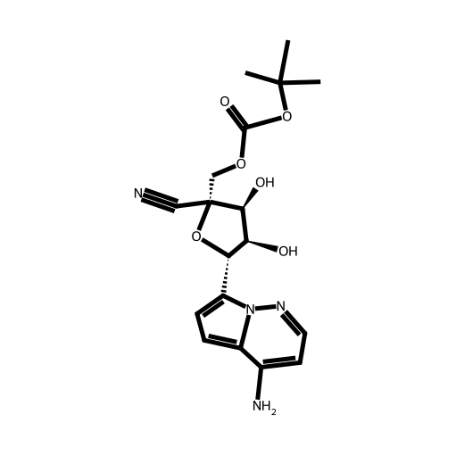 CC(C)(C)OC(=O)OC[C@@]1(C#N)O[C@@H](c2ccc3c(N)ccnn23)[C@H](O)[C@@H]1O